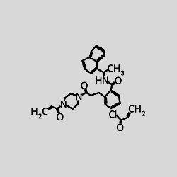 C=CC(=O)Cl.C=CC(=O)N1CCN(C(=O)CCc2ccccc2C(=O)NC(C)c2cccc3ccccc23)CC1